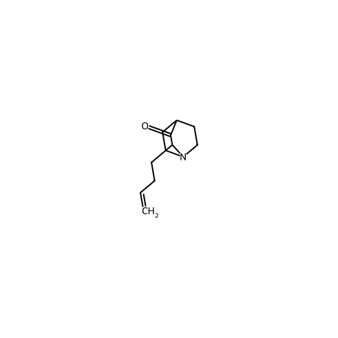 C=CCCC1C(=O)C2CCN1CC2